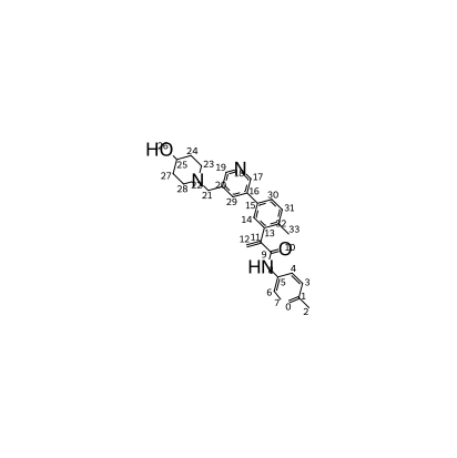 C=C(C)/C=C\C(=C/C)NC(=O)C(=C)c1cc(-c2cncc(CN3CCC(O)CC3)c2)ccc1C